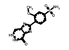 COc1cc(S(N)(=O)=O)ccc1-c1nc2c[nH][nH]c(=O)c-2n1